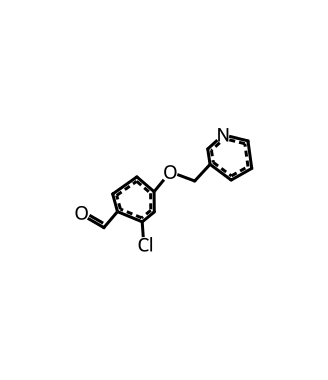 O=Cc1ccc(OCc2cccnc2)cc1Cl